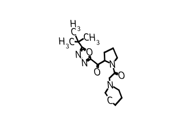 CC(C)(C)c1nnc(C(=O)C2CCCN2C(=O)CN2CCCCC2)o1